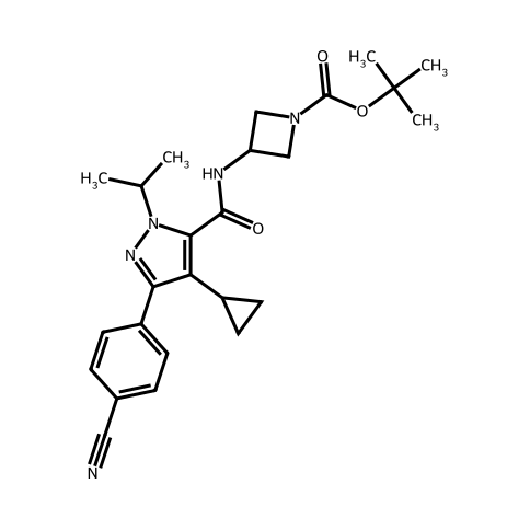 CC(C)n1nc(-c2ccc(C#N)cc2)c(C2CC2)c1C(=O)NC1CN(C(=O)OC(C)(C)C)C1